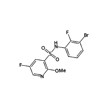 COc1ncc(F)cc1S(=O)(=O)Nc1cccc(Br)c1F